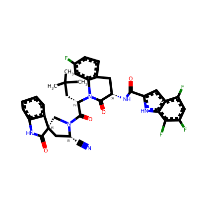 CC(C)(C)C[C@@H](C(=O)N1C[C@]2(C[C@H]1C#N)C(=O)Nc1ccccc12)N1C(=O)[C@@H](NC(=O)c2cc3c(F)cc(F)c(F)c3[nH]2)Cc2ccc(F)cc21